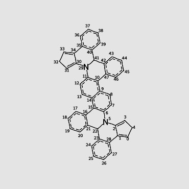 C1=C2C(=CC1)N1c3ccc4c5c(ccc4c3-c3ccccc3C1c1ccccc12)N1C2=CCC=C2c2ccccc2C1c1ccccc1-5